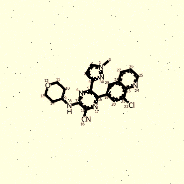 Cn1ccc(-c2nc(NC3CCOCC3)c(C#N)nc2-c2cc(Cl)c3ncccc3c2)n1